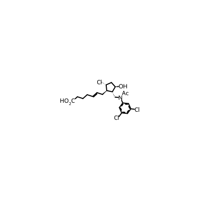 CC(=O)N(C[C@@H]1[C@@H](CC=CCCCC(=O)O)[C@H](Cl)C[C@H]1O)c1cc(Cl)cc(Cl)c1